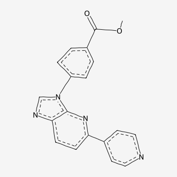 COC(=O)c1ccc(-n2cnc3ccc(-c4ccncc4)nc32)cc1